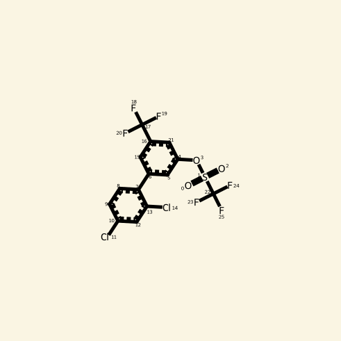 O=S(=O)(Oc1cc(-c2ccc(Cl)cc2Cl)cc(C(F)(F)F)c1)C(F)(F)F